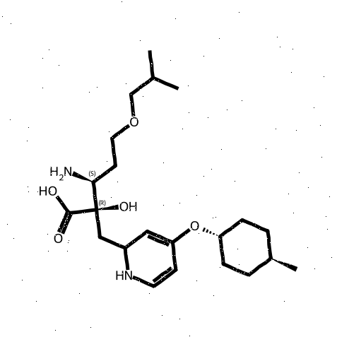 CC(C)COCC[C@H](N)[C@](O)(CC1C=C(O[C@H]2CC[C@H](C)CC2)C=CN1)C(=O)O